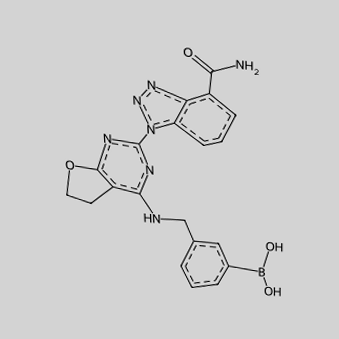 NC(=O)c1cccc2c1nnn2-c1nc(NCc2cccc(B(O)O)c2)c2c(n1)OCC2